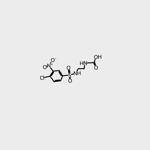 O=C(O)NCCNS(=O)(=O)c1ccc(Cl)c([N+](=O)[O-])c1